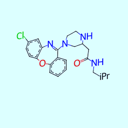 CC(C)CNC(=O)CC1CN(C2=Nc3cc(Cl)ccc3Oc3ccccc32)CCN1